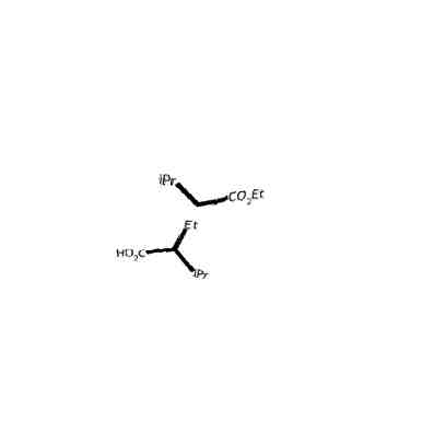 CCC(C(=O)O)C(C)C.CCOC(=O)CC(C)C